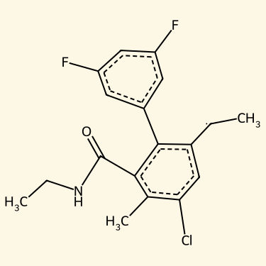 C[CH]c1cc(Cl)c(C)c(C(=O)NCC)c1-c1cc(F)cc(F)c1